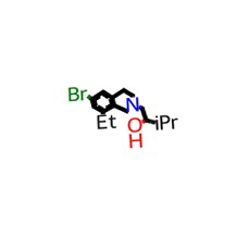 CCc1cc(Br)cc2c1CN(CC(O)C(C)C)CC2